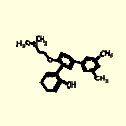 Cc1cc(C)cc(-c2ccc(OCCN(C)C)c(C3=C[CH]CC=C3O)c2)c1